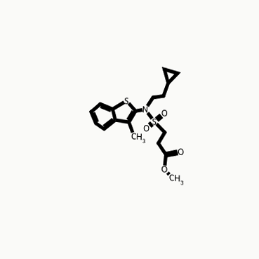 COC(=O)CCS(=O)(=O)N(CCC1CC1)c1sc2ccccc2c1C